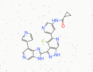 O=C(Nc1cncc(-c2ncc3[nH]nc(-c4nc5c(-c6ccncc6)cncc5[nH]4)c3c2F)c1)C1CC1